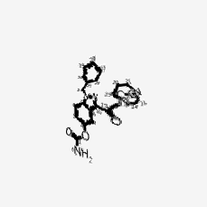 NC(=O)Oc1ccc2c(c1)c(C(=O)N1CCN3CCC1CC3)nn2Cc1ccccc1